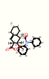 C[C@@H]1CC[C@@H]2C(=C[C@H]3C(=O)O[C@H](C)[C@H]3[C@H]2C(=O)N(c2ccccc2)c2ccccc2)C1